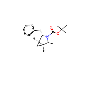 CC1[C@H]2C[C@H]2[C@H](Cc2ccccc2)N1C(=O)OC(C)(C)C